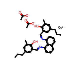 CC(=O)[O-].CC(=O)[O-].CCCc1cc(C)c(O)c(C=Nc2cccc3cccc(N=Cc4cc(CCC)cc(C)c4O)c23)c1.[Co+2]